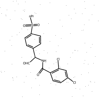 CCCS(=O)(=O)c1ccc(C(C=O)NC(=O)c2ccc(Cl)cc2Cl)cc1